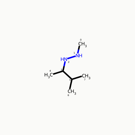 CNNC(C)C(C)C